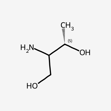 C[C@H](O)C(N)CO